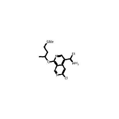 CCC(N)c1cnc(OC(C)CCSC)c2cnc(Cl)cc12